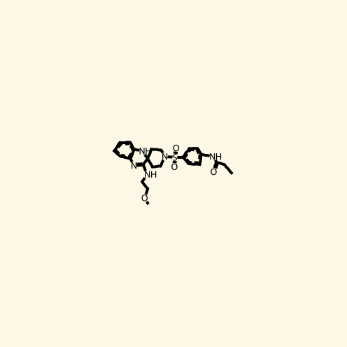 CCC(=O)Nc1ccc(S(=O)(=O)N2CCC3(CC2)Nc2ccccc2N=C3NCCOC)cc1